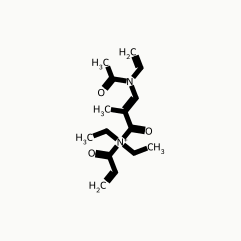 C=CC(=O)[N+](CC)(CC)C(=O)C(C)=CN(C=C)C(C)=O